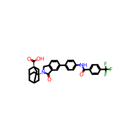 O=C(Nc1ccc(-c2ccc3c(c2)C(=O)N([C@]24CC5CC(C[C@](C(=O)O)(C5)C2)C4)C3)cc1)c1ccc(C(F)(F)F)cc1